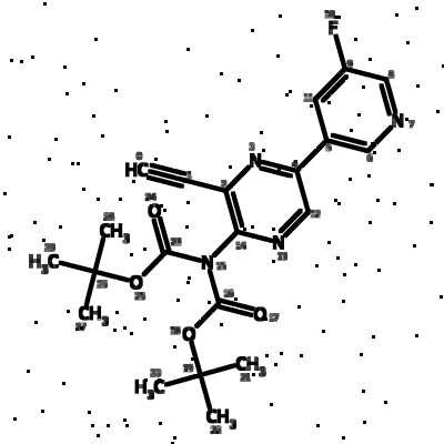 C#Cc1nc(-c2cncc(F)c2)cnc1N(C(=O)OC(C)(C)C)C(=O)OC(C)(C)C